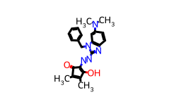 CC1=C(C)C(O)=C(N=Nc2nc3ccc(N(C)C)cc3n2Cc2ccccc2)C1=O